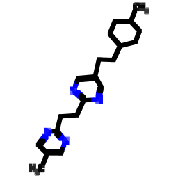 Cc1cnc(CCc2ncc(CCC3CCC(C)CC3)cn2)nc1